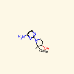 CO[C@@]1(C)CN(c2nccc(N)n2)CC[C@H]1O